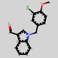 COc1ccc(Cn2cc(C=O)c3ccccc32)cc1Cl